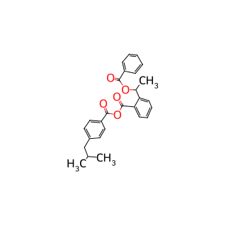 CC(C)Cc1ccc(C(=O)OC(=O)c2ccccc2C(C)OC(=O)c2ccccc2)cc1